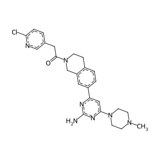 CN1CCN(c2cc(-c3ccc4c(c3)CN(C(=O)Cc3ccc(Cl)nc3)CC4)nc(N)n2)CC1